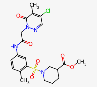 COC(=O)C1CCCN(S(=O)(=O)c2cc(NC(=O)Cn3ncc(Cl)c(C)c3=O)ccc2C)C1